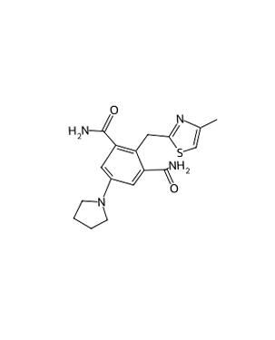 Cc1csc(Cc2c(C(N)=O)cc(N3CCCC3)cc2C(N)=O)n1